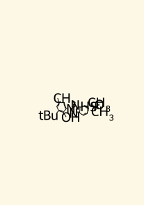 Cc1cc(-n2nc3ccc([SH](C)(C)=O)cc3n2)c(O)c(C(C)(C)C)c1